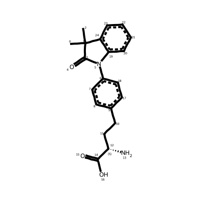 CC1(C)C(=O)N(c2ccc(CC[C@H](N)C(=O)O)cc2)c2ccccc21